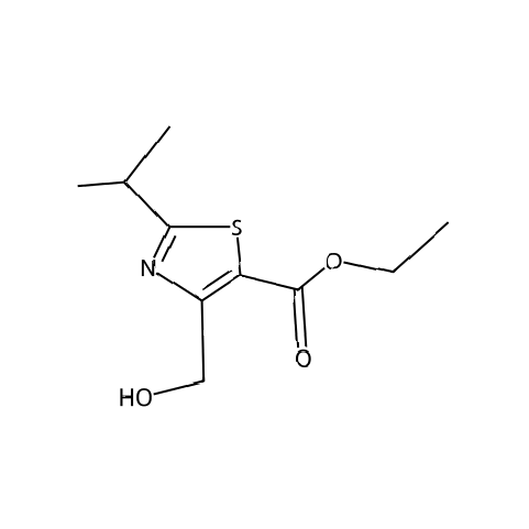 CCOC(=O)c1sc(C(C)C)nc1CO